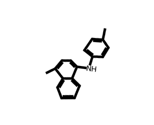 Cc1ccc(Nc2ccc(C)c3ccccc23)cc1